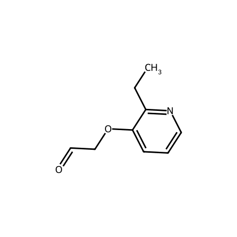 CCc1ncccc1OCC=O